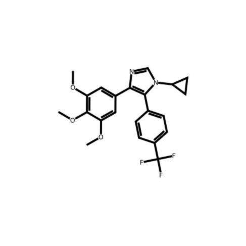 COc1cc(-c2ncn(C3CC3)c2-c2ccc(C(F)(F)F)cc2)cc(OC)c1OC